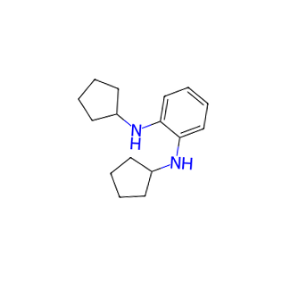 c1ccc(NC2CCCC2)c(NC2CCCC2)c1